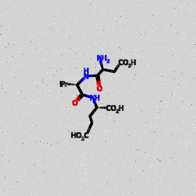 CC(C)[C@H](NC(=O)[C@@H](N)CC(=O)O)C(=O)N[C@@H](CCC(=O)O)C(=O)O